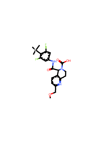 COCc1ccc2c(n1)CCN(C(=O)O)C2C(=O)Nc1cc(F)c([Si](C)(C)C)c(F)c1